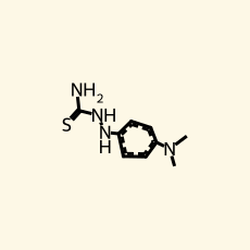 CN(C)c1ccc(NNC(N)=S)cc1